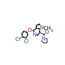 Cn1ccc2c(Oc3ccc(Cl)c(Cl)c3)ncc(C(=O)N3CCCC3)c21